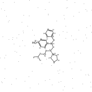 CC(C)COCC(CN(Cc1ccccc1)c1ccc(O)cc1)N1CCCC1